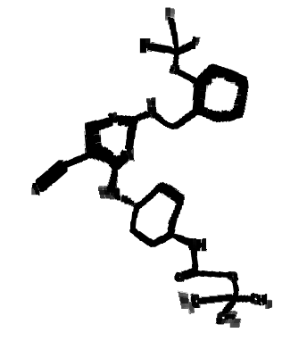 CC(C)(C)OC(=O)N[C@H]1CC[C@H](Nc2nc(NCc3ccccc3OC(F)(F)F)ncc2C#N)CC1